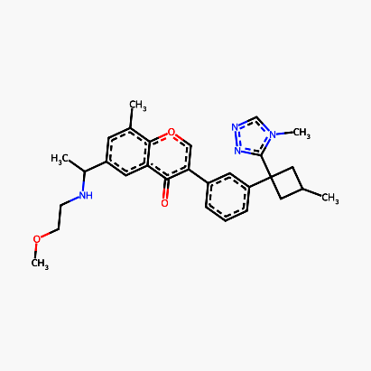 COCCNC(C)c1cc(C)c2occ(-c3cccc(C4(c5nncn5C)CC(C)C4)c3)c(=O)c2c1